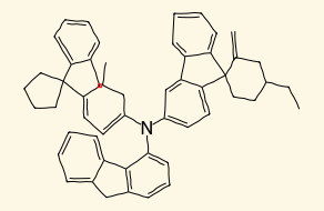 C=C1CC(CC)CCC12c1ccccc1-c1cc(N(/C(=C/C=C3\Cc4ccccc4C34CCCC4)CCC)c3cccc4c3-c3ccccc3C4)ccc12